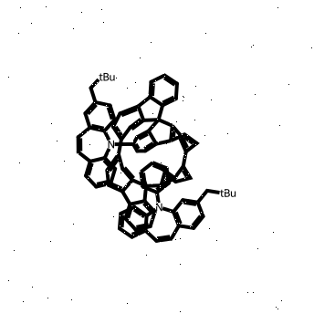 CC(C)(C)Cc1ccc2c(c1)C=Cc1ccccc1N2c1ccc2c(c1)C13c4ccccc4-c4ccc(cc41)-c1ccc4c(c1)C1(c5ccccc5-4)c4cc(ccc4-c4ccc(N5c6ccccc6C=Cc6ccc(CC(C)(C)C)cc65)cc41)-c1ccc-2c3c1